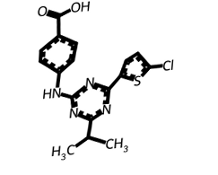 CC(C)c1nc(Nc2ccc(C(=O)O)cc2)nc(-c2ccc(Cl)s2)n1